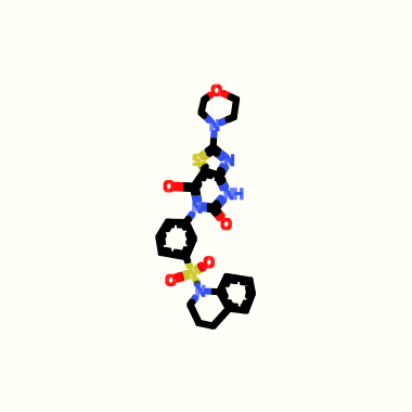 O=c1[nH]c2nc(N3CCOCC3)sc2c(=O)n1-c1cccc(S(=O)(=O)N2CCCc3ccccc32)c1